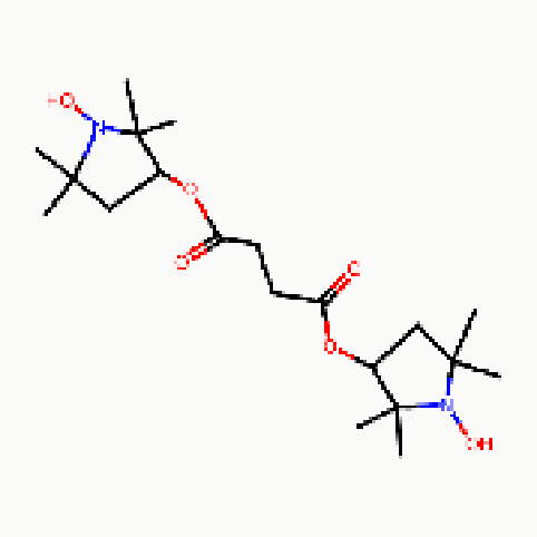 CC1(C)CC(OC(=O)CCC(=O)OC2CC(C)(C)N(O)C2(C)C)C(C)(C)N1O